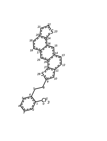 FC(F)(F)c1ccccc1CCc1cc2ccc3cc4c(ccc5ccsc54)cc3c2s1